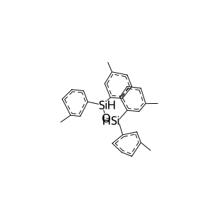 Cc1cccc([SiH](O[SiH](c2cccc(C)c2)c2cccc(C)c2)c2cccc(C)c2)c1